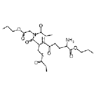 CCCOC(=O)CN(C(=O)CC)C(=O)C(CSC(=O)CC)NC(=O)CCC(N)C(=O)OCCC